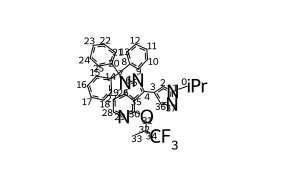 CC(C)n1cc(-c2nn(C(c3ccccc3)(c3ccccc3)c3ccccc3)c3ccnc(OC(C)C(F)(F)F)c23)cn1